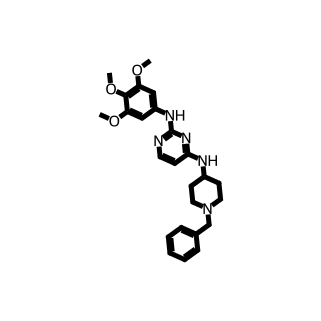 COc1cc(Nc2nccc(NC3CCN(Cc4ccccc4)CC3)n2)cc(OC)c1OC